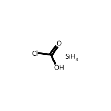 O=C(O)Cl.[SiH4]